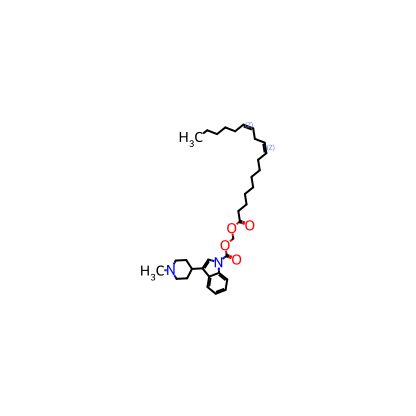 CCCCC/C=C\C/C=C\CCCCCCCC(=O)OCOC(=O)n1cc(C2CCN(C)CC2)c2ccccc21